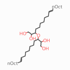 CCCCCCCCC=CCCCCCCC(OC(CCCCCCC=CCCCCCCCC)C(O)CO)C(O)CO